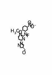 COc1ccc([N+](=O)[O-])cc1N(F)c1nccc(-n2cc(C=O)cn2)n1